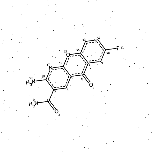 NC(=O)c1cc2c(=O)c3cc(F)ccc3oc2nc1N